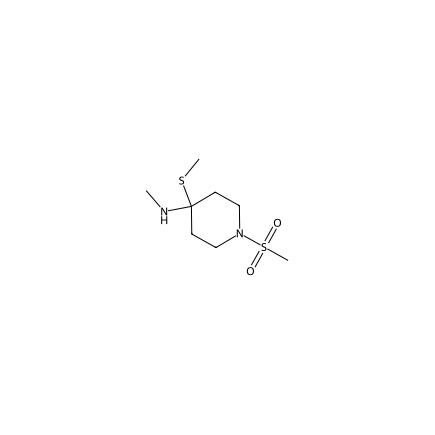 CNC1(SC)CCN(S(C)(=O)=O)CC1